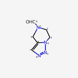 O=CN1CCn2nncc2C1